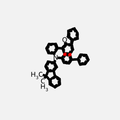 CC1(C)c2ccccc2-c2cc(N(c3ccc(-c4ccccc4)cc3)c3ccccc3-c3cccc4c3oc3ccccc34)ccc21